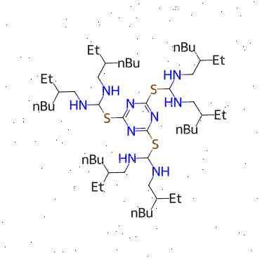 CCCCC(CC)CNC(NCC(CC)CCCC)Sc1nc(SC(NCC(CC)CCCC)NCC(CC)CCCC)nc(SC(NCC(CC)CCCC)NCC(CC)CCCC)n1